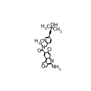 CCN(Cc1ccc(C#CC(C)(C)O)cn1)C(=O)c1cc2c3c(c(N)nc2cc1Cl)COC3